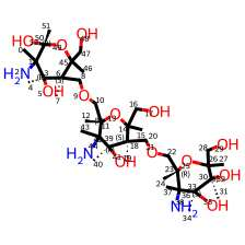 CC1(N)[C@](C)(O)[C@](C)(COC[C@]2(C)OC(C)(CO)[C@@](C)(COC[C@]3(C)OC(C)(CO)[C@@](C)(O)[C@@](C)(O)C3(C)N)[C@@](C)(O)C2(C)N)C(C)(CO)O[C@@]1(C)O